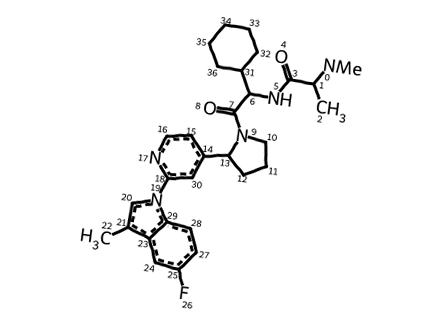 CNC(C)C(=O)NC(C(=O)N1CCCC1c1ccnc(-n2cc(C)c3cc(F)ccc32)c1)C1CCCCC1